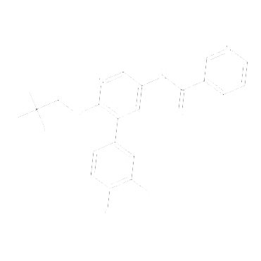 O=C(Nc1cnc(OCC(F)(F)F)c(-c2ccc(Cl)c(F)c2)c1)c1cccnc1